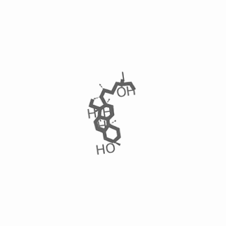 CC[C@@](O)(I)CC[C@@H](C)[C@H]1CC[C@H]2[C@@H]3CC=C4C[C@@](C)(O)CC[C@]4(C)[C@H]3CC[C@]12C